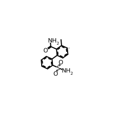 Cc1[c]ccc(-c2ccccc2S(N)(=O)=O)c1C(N)=O